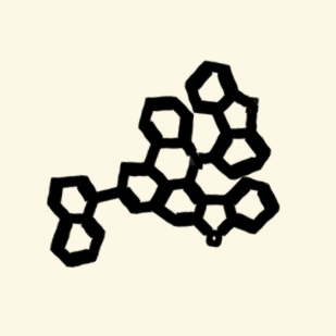 c1cc(-c2ccccc2N(c2cccc3oc4ccccc4c23)c2cccc3sc4ccccc4c23)cc(-c2cccc3ccccc23)c1